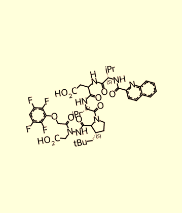 CC(C)[C@H](NC(=O)c1ccc2ccccc2n1)C(=O)NC(CC(=O)O)C(=O)N[C@H](C(=O)N1CC[C@H](CC(C)(C)C)C1C(=O)NN(CC(=O)O)C(=O)COc1c(F)c(F)cc(F)c1F)C(C)C